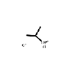 C[CH](C)[Hf+2].[Cl-].[Cl-]